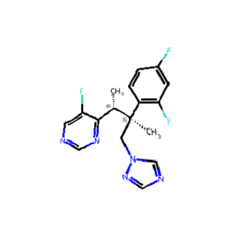 C[C@@H](c1ncncc1F)[C@](C)(Cn1cncn1)c1ccc(F)cc1F